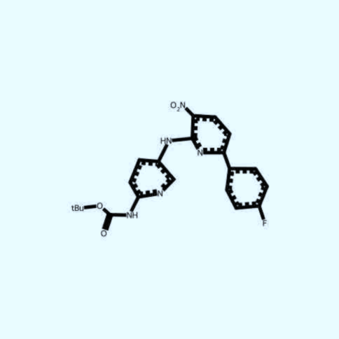 CC(C)(C)OC(=O)Nc1ccc(Nc2nc(-c3ccc(F)cc3)ccc2[N+](=O)[O-])cn1